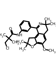 COc1cc2c(c3c1OC(C)(C)C3)C(c1cccc(NC(=O)C(C)(C)CCl)c1)=NC(C)(C)C2